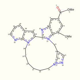 COC(=O)c1cc(OC)c2c(c1)nc1n2Cc2cnn(c2)CCCCCCn2c-1cc1cccnc12